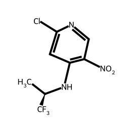 C[C@@H](Nc1cc(Cl)ncc1[N+](=O)[O-])C(F)(F)F